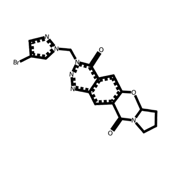 O=C1c2cc3nnn(Cn4cc(Br)cn4)c(=O)c3cc2OC2CCCN12